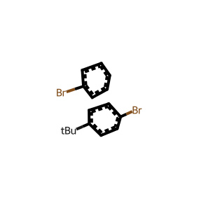 Brc1ccccc1.CC(C)(C)c1ccc(Br)cc1